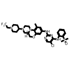 Cc1cc(Nc2ncc(Cl)c(Nc3ccccc3P(C)(C)=O)n2)cc2c1N1CCN(C3CCN(CC(F)(F)F)CC3)C[C@H]1CO2